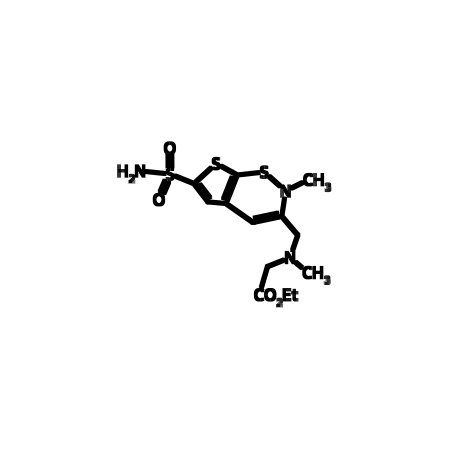 CCOC(=O)CN(C)CC1=Cc2cc(S(N)(=O)=O)sc2SN1C